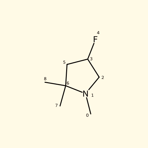 CN1CC(F)CC1(C)C